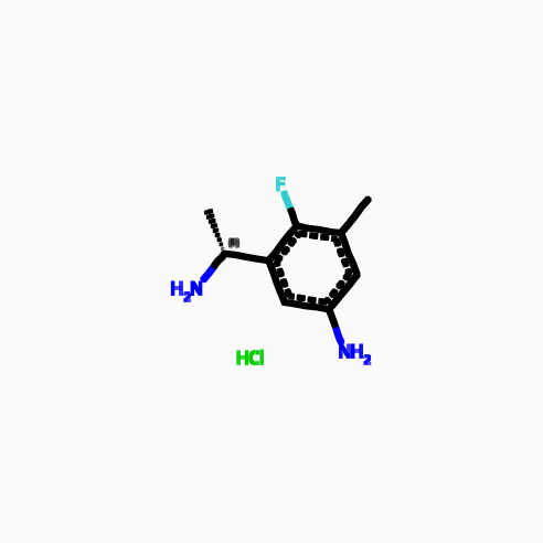 Cc1cc(N)cc([C@@H](C)N)c1F.Cl